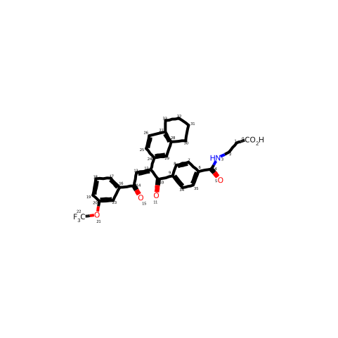 O=C(O)CCNC(=O)c1ccc(C(=O)/C(=C\C(=O)c2cccc(OC(F)(F)F)c2)c2ccc3c(c2)CCCC3)cc1